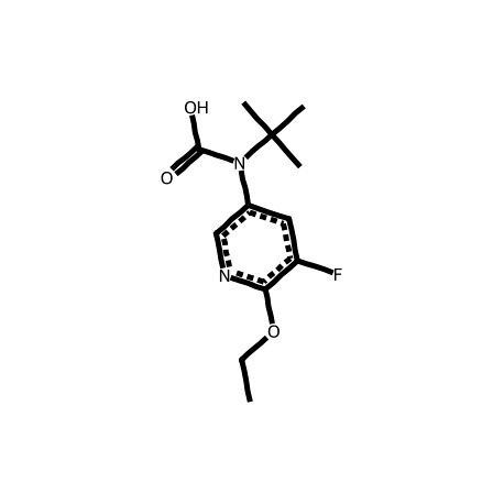 CCOc1ncc(N(C(=O)O)C(C)(C)C)cc1F